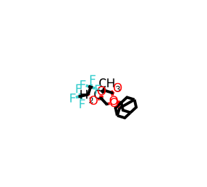 C=C(C)C(=O)OC12CC3CC(C1)C(OCC(=O)OC(C(F)(F)F)C(F)(F)F)C(C3)C2